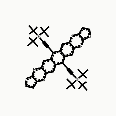 CC(C)(C)[Si](C#Cc1c2cc3nc4ccsc4nc3cc2c(C#C[Si](C(C)(C)C)(C(C)(C)C)C(C)(C)C)c2cc3nc4ccsc4nc3cc12)(C(C)(C)C)C(C)(C)C